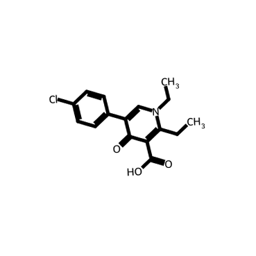 CCc1c(C(=O)O)c(=O)c(-c2ccc(Cl)cc2)cn1CC